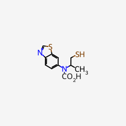 CC(CS)N(C(=O)O)c1ccc2ncsc2c1